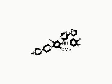 COc1cc(N2CCC(N3CCN(C)CC3)CC2)c(C(C)C)cc1Nc1cc(N2OCC[C@@H]2c2cccc(F)c2F)ncn1